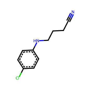 N#CCCCNc1ccc(Cl)cc1